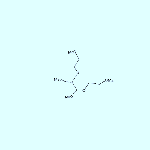 COCCOC(OC)C(OC)OCCOC